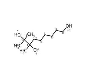 CC(C)(O)C(C)(O)CCCCCCO